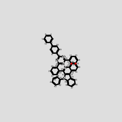 c1ccc(-c2ccc(-c3nc(-c4ccccc4)nc(-c4ccccc4-c4nc5ccccc5c5c6ccccc6n(-c6ccccc6)c45)n3)cc2)cc1